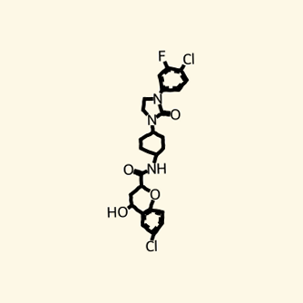 O=C(NC1CCC(N2CCN(c3ccc(Cl)c(F)c3)C2=O)CC1)C1CC(O)c2cc(Cl)ccc2O1